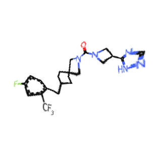 O=C(N1CC(c2ncn[nH]2)C1)N1CC2(CC(Cc3ccc(F)cc3C(F)(F)F)C2)C1